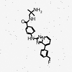 CC(C)(N)CNC(=O)c1ccc(Nc2nc3c(-c4cccc(CF)c4)cccn3n2)cc1